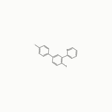 Cc1ccc(-c2ccc(I)c(-c3ccccn3)c2)cc1